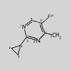 Cc1nc(C2CC2)ncc1F